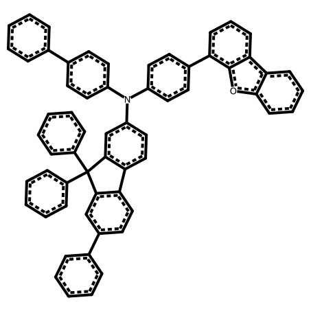 c1ccc(-c2ccc(N(c3ccc(-c4cccc5c4oc4ccccc45)cc3)c3ccc4c(c3)C(c3ccccc3)(c3ccccc3)c3cc(-c5ccccc5)ccc3-4)cc2)cc1